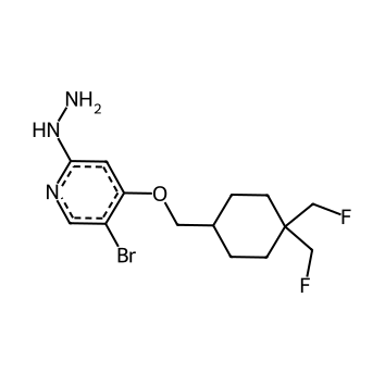 NNc1cc(OCC2CCC(CF)(CF)CC2)c(Br)cn1